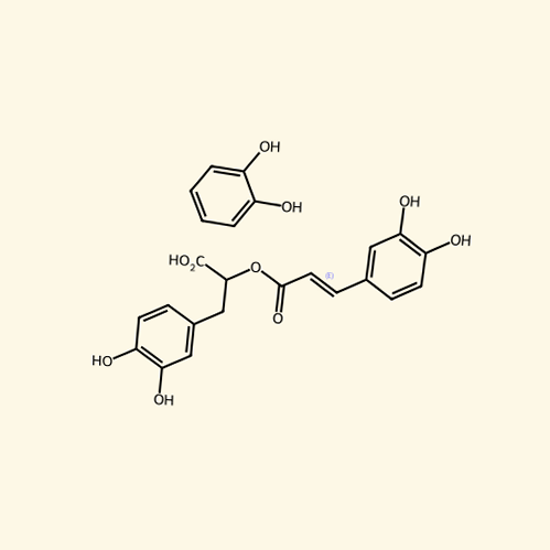 O=C(/C=C/c1ccc(O)c(O)c1)OC(Cc1ccc(O)c(O)c1)C(=O)O.Oc1ccccc1O